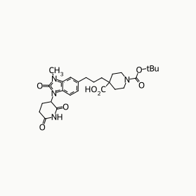 Cn1c(=O)n(C2CCC(=O)NC2=O)c2ccc(CCCC3(C(=O)O)CCN(C(=O)OC(C)(C)C)CC3)cc21